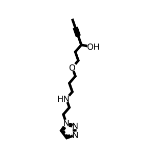 CC#CC(O)CCOCCCNCCn1ccnn1